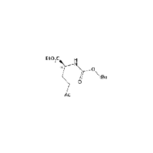 CCOC(=O)[C@H](CCC(C)=O)NC(=O)OC(C)(C)C